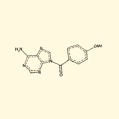 COc1ccc(C(=O)n2cnc3c(N)ncnc32)cc1